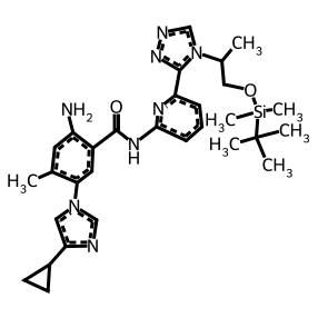 Cc1cc(N)c(C(=O)Nc2cccc(-c3nncn3C(C)CO[Si](C)(C)C(C)(C)C)n2)cc1-n1cnc(C2CC2)c1